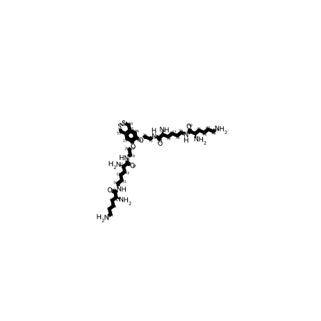 NCCCC[C@H](N)C(=O)NCCCC[C@H](N)C(=O)NCCOc1cc2c(cc1OCCNC(=O)[C@@H](N)CCCCNC(=O)[C@@H](N)CCCCN)CSSC2